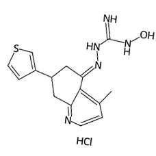 Cc1ccnc2c1C(=NNC(=N)NO)CC(c1ccsc1)C2.Cl